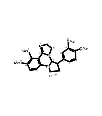 COc1ccc(C2CCN3c4ccc(OC)c(OC)c4C4=NCCN4C23)cc1OC.Cl